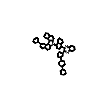 c1ccc(-c2ccc(-c3cccc(-c4nc5ccccc5nc4-c4ccc(-n5c6ccc7ccccc7c6c6c7cc(-c8ccccc8)ccc7ccc65)c5ccccc45)c3)cc2)cc1